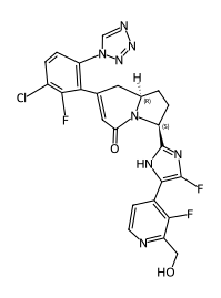 O=C1C=C(c2c(-n3cnnn3)ccc(Cl)c2F)C[C@H]2CC[C@@H](c3nc(F)c(-c4ccnc(CO)c4F)[nH]3)N12